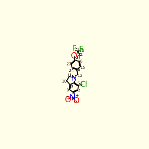 O=[N+]([O-])c1cc(Cl)c2c(c1)CCN2Cc1ccc(OC(F)(F)F)cc1